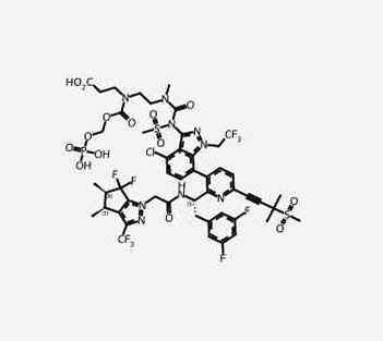 C[C@@H]1c2c(C(F)(F)F)nn(CC(=O)N[C@@H](Cc3cc(F)cc(F)c3)c3nc(C#CC(C)(C)S(C)(=O)=O)ccc3-c3ccc(Cl)c4c(N(C(=O)N(C)CCN(CCC(=O)O)C(=O)OCOP(=O)(O)O)S(C)(=O)=O)nn(CC(F)(F)F)c34)c2C(F)(F)[C@@H]1C